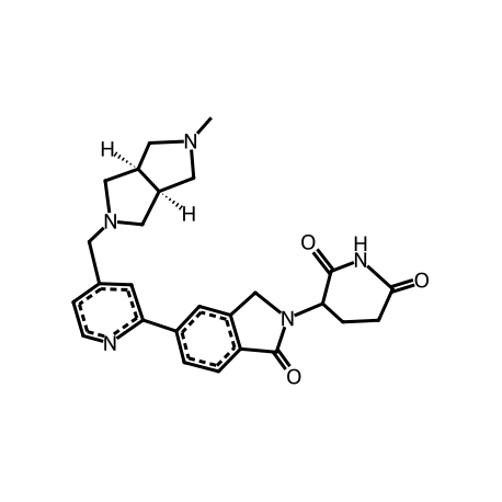 CN1C[C@@H]2CN(Cc3ccnc(-c4ccc5c(c4)CN(C4CCC(=O)NC4=O)C5=O)c3)C[C@@H]2C1